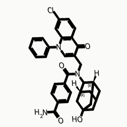 NC(=O)c1ccc(C(=O)N(Cc2cn(-c3ccccc3)c3cc(Cl)ccc3c2=O)C2[C@@H]3CC4C[C@@H]2CC(O)(C4)C3)cc1